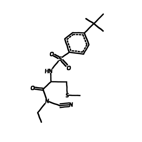 CCN(C#N)C(=O)C(CSC)NS(=O)(=O)c1ccc(C(C)(C)C)cc1